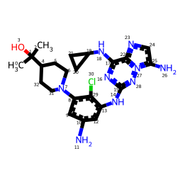 CC(C)(O)C1CCN(c2cc(N)cc(Nc3nc(NC4CC4)c4ncc(N)n4n3)c2Cl)CC1